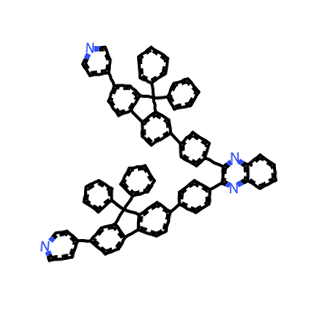 c1ccc(C2(c3ccccc3)c3cc(-c4ccncc4)ccc3-c3ccc(-c4ccc(-c5nc6ccccc6nc5-c5ccc(-c6ccc7c(c6)C(c6ccccc6)(c6ccccc6)c6cc(-c8ccncc8)ccc6-7)cc5)cc4)cc32)cc1